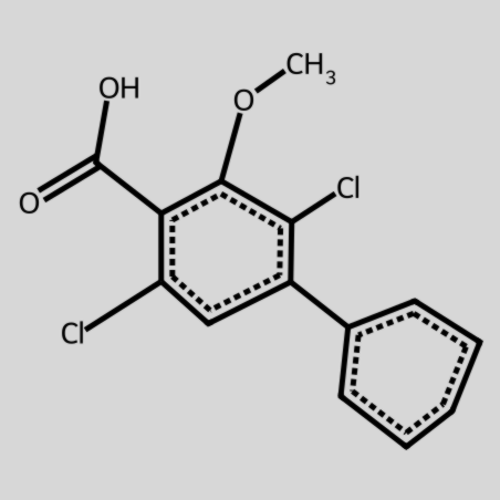 COc1c(Cl)c(-c2ccccc2)cc(Cl)c1C(=O)O